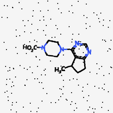 CC1CCc2ncnc(N3CCN(C(=O)O)CC3)c21